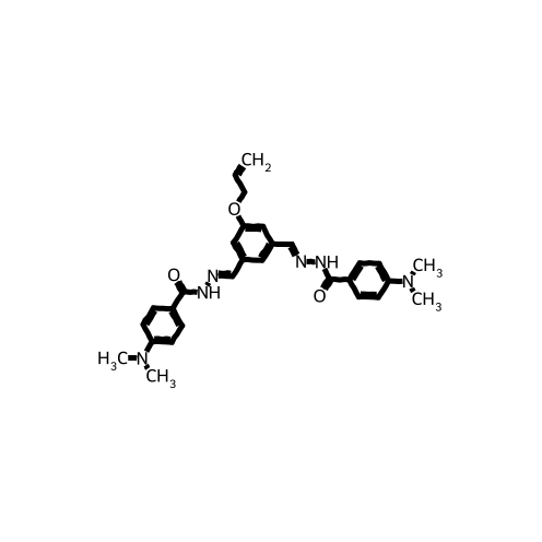 C=CCOc1cc(/C=N/NC(=O)c2ccc(N(C)C)cc2)cc(/C=N/NC(=O)c2ccc(N(C)C)cc2)c1